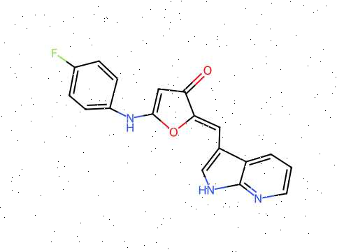 O=C1C=C(Nc2ccc(F)cc2)OC1=Cc1c[nH]c2ncccc12